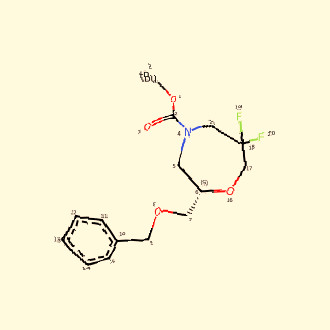 CC(C)(C)OC(=O)N1C[C@@H](COCc2ccccc2)OCC(F)(F)C1